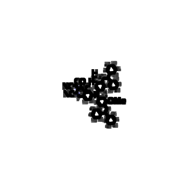 [C-]#[N+]C(=C(/C#N)C(=O)O)/C(C#N)=C\c1ccc(N(c2ccc(C=C(c3ccccc3)c3ccccc3)c(C)c2)c2ccc(C=C(c3ccccc3)c3ccccc3)c(OC)c2)cc1